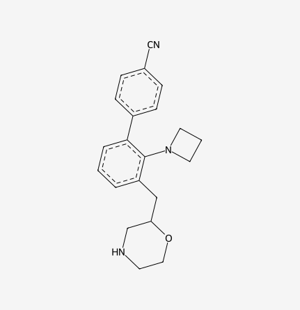 N#Cc1ccc(-c2cccc(CC3CNCCO3)c2N2CCC2)cc1